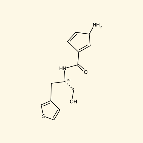 NC1C=CC(C(=O)N[C@H](CO)Cc2ccsc2)=C1